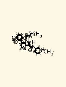 [CH2]CN1CCCC(NC(=O)c2c[nH]c3c(-c4c(OCCCC)ccc5c4OCO5)ncnc23)C1